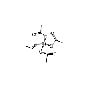 CC=C[Si](OC(C)=O)(OC(C)=O)OC(C)=O